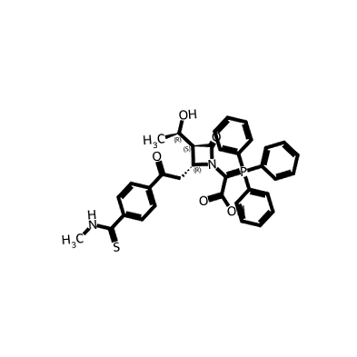 CNC(=S)c1ccc(C(=O)C[C@@H]2[C@@H]([C@@H](C)O)C(=O)N2C(C(=O)O)=P(c2ccccc2)(c2ccccc2)c2ccccc2)cc1